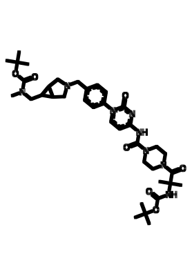 CN(CC1C2CN(Cc3ccc(-n4ccc(NC(=O)N5CCN(C(=O)C(C)(C)NC(=O)OC(C)(C)C)CC5)nc4=O)cc3)CC21)C(=O)OC(C)(C)C